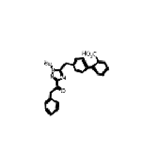 CCC(C)n1nc(C(=O)Cc2ccccc2)nc1Cc1ccc(-c2ccccc2C(=O)O)cc1